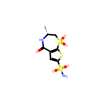 C[C@@H]1CS(=O)(=O)c2sc(S(N)(=O)=O)cc2C(=O)N1